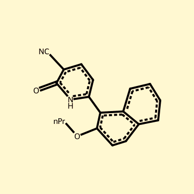 CCCOc1ccc2ccccc2c1-c1ccc(C#N)c(=O)[nH]1